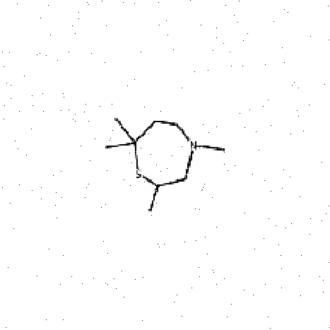 CC1CN(C)CCC(C)(C)S1